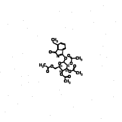 CCc1cccc2c1C(=O)N=C2OC1O[C@H](COC(C)=O)[C@H](OC(C)=O)[C@H](OC(C)=O)[C@H]1OC(C)=O